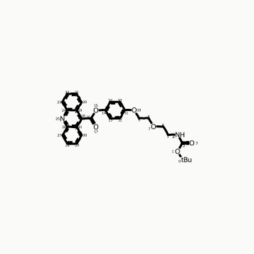 CC(C)(C)OC(=O)NCCOCCOc1ccc(OC(=O)c2c3ccccc3nc3ccccc23)cc1